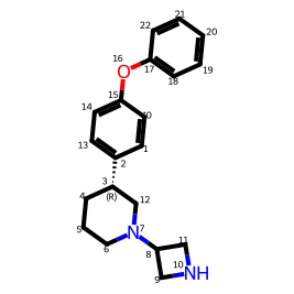 [c]1cc([C@H]2CCCN(C3CNC3)C2)ccc1Oc1ccccc1